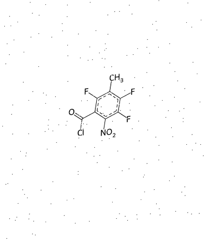 Cc1c(F)c(F)c([N+](=O)[O-])c(C(=O)Cl)c1F